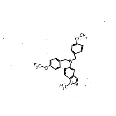 Cn1ncc2cc(N(Cc3ccc(OC(F)(F)F)cc3)Cc3ccc(OC(F)(F)F)cc3)ccc21